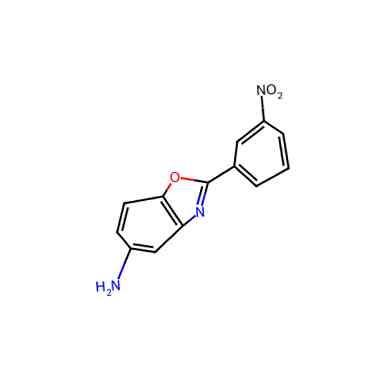 Nc1ccc2oc(-c3cccc([N+](=O)[O-])c3)nc2c1